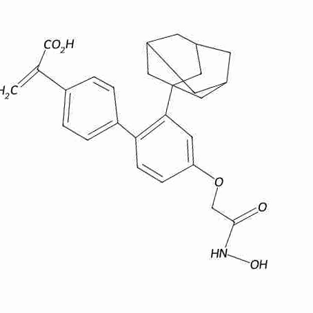 C=C(C(=O)O)c1ccc(-c2ccc(OCC(=O)NO)cc2C23CC4CC(CC(C4)C2)C3)cc1